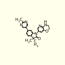 Cc1ncc(-c2ccc3c(c2)N(c2cnc4c(c2)OCCN4)C(=O)C3(C)C)cn1